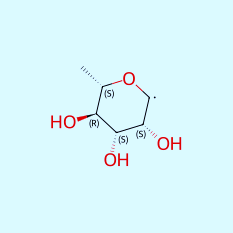 C[C@@H]1O[CH][C@H](O)[C@H](O)[C@H]1O